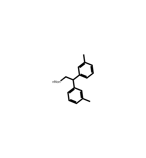 CCCCCCCCCCC(c1cccc(C)c1)c1cccc(C)c1